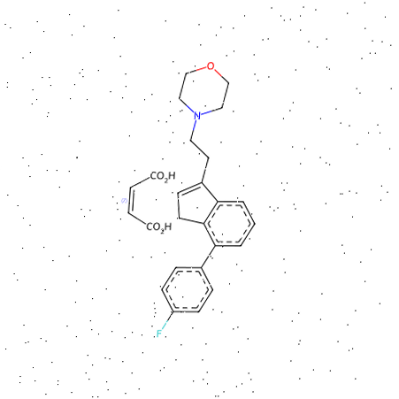 Fc1ccc(-c2cccc3c2CC=C3CCN2CCOCC2)cc1.O=C(O)/C=C\C(=O)O